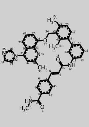 CNC(=O)c1ccc(C=CC(=O)Nc2cccc(-c3ccc(C)c(COc4cccc5c(-n6ccnc6)cc(C)nc45)c3C)c2)cc1